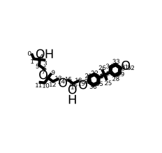 CCC(C)(O)CCOC(C)(CC)CCOCC(O)COc1ccc(C(C)(C)c2ccc(OC)cc2)cc1